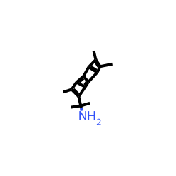 Cc1c(C)c2c1c1c3c(C)c(C(C)(C)N)c3c21